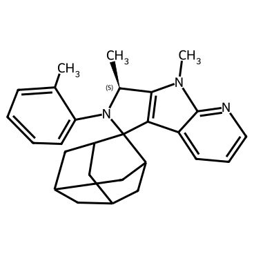 Cc1ccccc1N1[C@@H](C)c2c(c3cccnc3n2C)C12C1CC3CC(C1)CC2C3